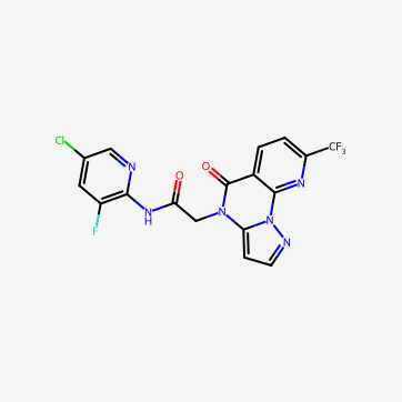 O=C(Cn1c(=O)c2ccc(C(F)(F)F)nc2n2nccc12)Nc1ncc(Cl)cc1F